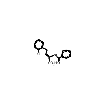 O=C(O)C(=CCc1ccccc1Cl)NC(=O)c1ccccc1